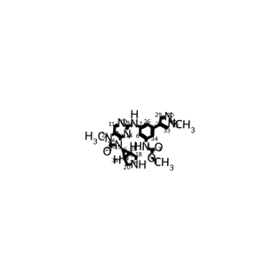 COC(=O)Nc1cc(Nc2ncc3c(n2)n(C2[C@H]4CNC[C@@H]24)c(=O)n3C)cc(-c2cnn(C)c2)c1